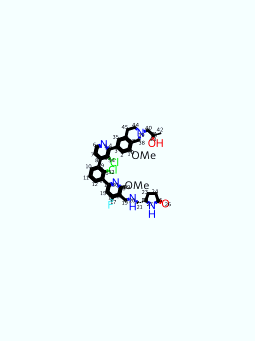 COc1cc(-c2nccc(-c3cccc(-c4cc(F)c(CNC[C@@H]5CCC(=O)N5)c(OC)n4)c3Cl)c2Cl)cc2c1CN(C[C@@H](C)O)CC2